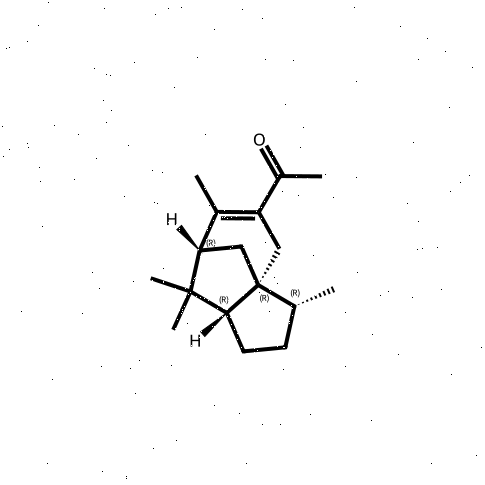 CC(=O)C1=C(C)[C@@H]2C[C@@]3(C1)[C@H](C)CC[C@@H]3C2(C)C